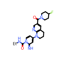 CCNC(=O)n1ccc(N2CCCc3cc(C(=O)N4CCC(F)CC4)cnc32)cc1=N